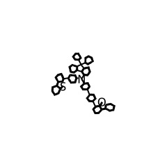 c1ccc(C2(c3ccccc3)c3ccccc3-c3c(N(c4ccc(-c5ccc(-c6cccc7c6oc6ccccc67)cc5)cc4)c4ccc(-c5cccc6c5sc5ccccc56)cc4)cccc32)cc1